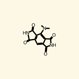 CN(C)c1c2c(=O)[nH]c(=O)c2cc2c(=O)[nH]c(=O)c12